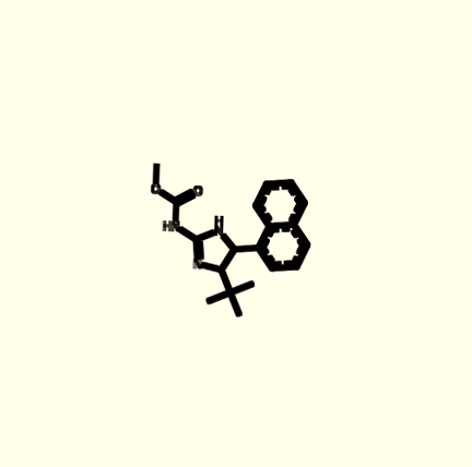 COC(=O)NC1=NC(C(C)(C)C)C(c2cccc3ccccc23)N1